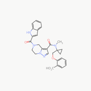 CN(C(=O)c1cnn2c1CN(C(=O)c1cc3ccccc3[nH]1)CC2)C1(COc2ccccc2C(=O)O)CC1